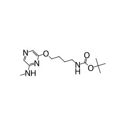 CNc1cncc(OCCCCNC(=O)OC(C)(C)C)n1